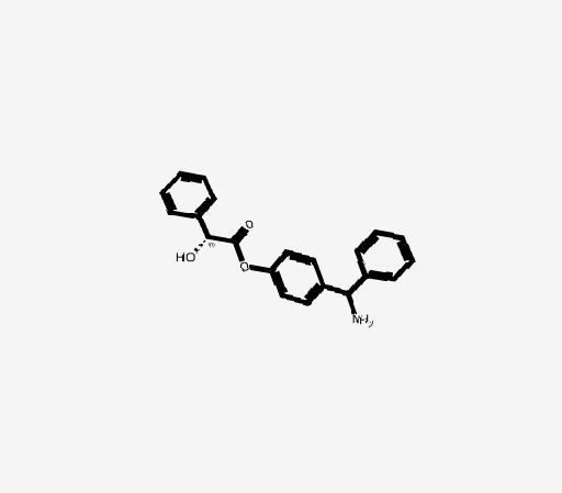 NC(c1ccccc1)c1ccc(OC(=O)[C@H](O)c2ccccc2)cc1